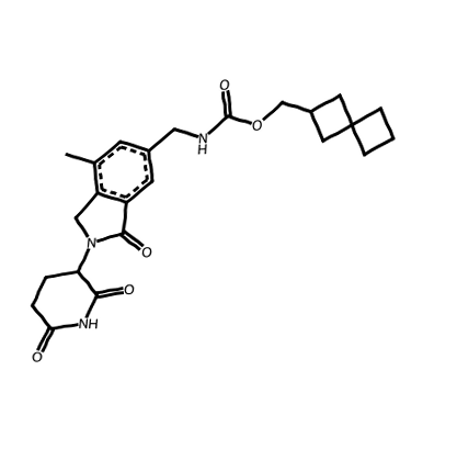 Cc1cc(CNC(=O)OCC2CC3(CCC3)C2)cc2c1CN(C1CCC(=O)NC1=O)C2=O